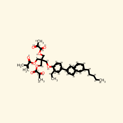 C=C(C)C(=O)OCC(COC(=O)C(C)=O)(COC(=O)C(C)=O)COc1ccc(-c2ccc3cc(CCCCC)ccc3c2)cc1CC